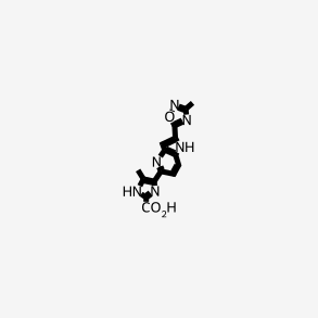 Cc1noc(-c2cc3nc(-c4nc(C(=O)O)[nH]c4C)ccc3[nH]2)n1